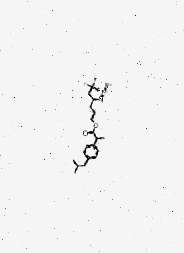 CC(C)Cc1ccc(C(C)C(=O)OCCCC(CC(F)(F)F)N=[N+]=[N-])cc1